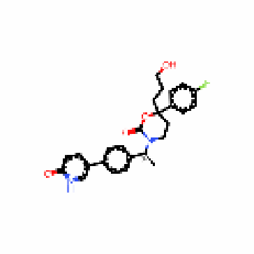 C[C@@H](c1ccc(-c2ccc(=O)[nH]c2)cc1)N1CCC(CCCO)(c2ccc(F)cc2)OC1=O